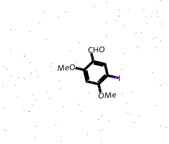 COc1cc(OC)c(C=O)cc1I